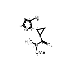 CON(C)C(=O)[C@@H]1C[C@H]1c1sccc1Br